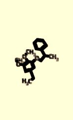 CCc1cc(OC)c(OC)c(OCC(C)c2ccccc2)c1